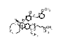 CCOc1cc2c(cc1NC(=O)CCCN(C)C)C(Nc1ccc(OCc3cccc(OC)n3)c(Cl)c1)C(C#N)C1(CCCCCCCCCC1)N2